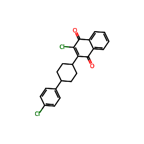 O=C1C(Cl)=C(C2CCC(c3ccc(Cl)cc3)CC2)C(=O)c2ccccc21